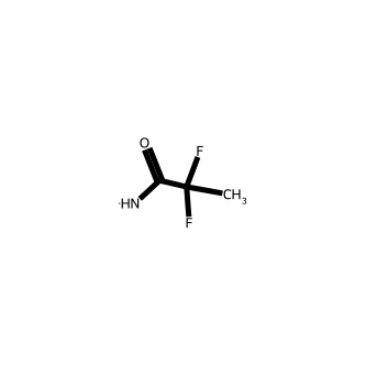 CC(F)(F)C([NH])=O